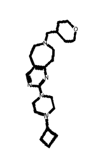 c1nc(N2CCN(C3CCC3)CC2)nc2c1CCN(CC1CCOCC1)CC2